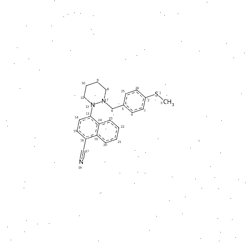 CSc1ccc(CN2CCCCN2c2ccc(C#N)c3ccccc23)cc1